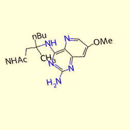 CCCCC(C)(CNC(C)=O)Nc1nc(N)nc2cc(OC)cnc12